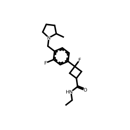 CCNC(=O)C1CC(F)(c2ccc(CN3CCCC3C)c(F)c2)C1